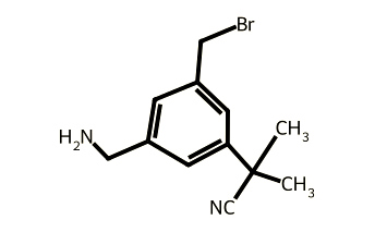 CC(C)(C#N)c1cc(CN)cc(CBr)c1